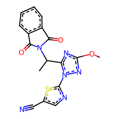 COc1nc(C(C)N2C(=O)c3ccccc3C2=O)n(-c2ncc(C#N)s2)n1